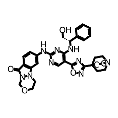 O=c1c2ccc(Nc3ncc(-c4nc(C56CCN(CC5)CC6)no4)c(N[C@H](CO)c4ccccc4)n3)cc2n2n1COCC2